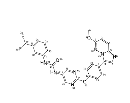 COc1ccc2ncc(-c3ccc(Oc4ncc(NC(=O)Nc5cccc(C(F)F)c5)cn4)cc3)n2n1